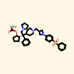 CNC(=O)O[C@@H]1CCC[C@H]1C(CN1CCCC1)(c1ccccc1)C1CCN(CC2CN(c3ccc(S(=O)(=O)c4ccccc4)cc3)C2)CC1